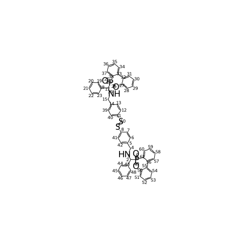 O=P1(C(NCc2ccc(SSc3ccc(CNC(c4ccccc4)P4(=O)Oc5ccccc5-c5ccccc54)cc3)cc2)c2ccccc2)Oc2ccccc2-c2ccccc21